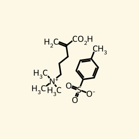 C=C(CCC[N+](C)(C)C)C(=O)O.Cc1ccc(S(=O)(=O)[O-])cc1